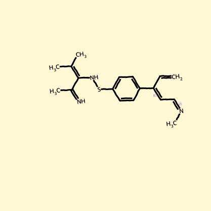 C=C/C(=C\C=N/C)c1ccc(SNC(C(C)=N)=C(C)C)cc1